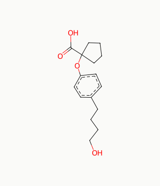 O=C(O)C1(Oc2ccc(CCCCO)cc2)CCCC1